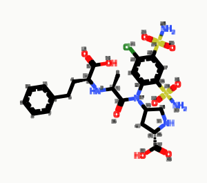 C[C@H](N[C@@H](CCc1ccccc1)C(=O)O)C(=O)N(c1cc(Cl)c(S(N)(=O)=O)cc1S(N)(=O)=O)C1CN[C@H](C(=O)O)C1